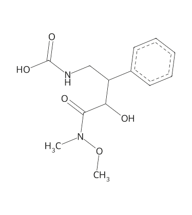 CON(C)C(=O)C(O)C(CNC(=O)O)c1ccccc1